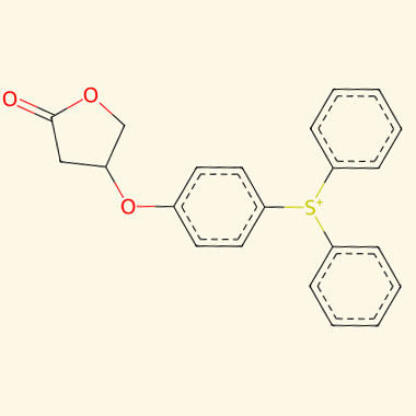 O=C1CC(Oc2ccc([S+](c3ccccc3)c3ccccc3)cc2)CO1